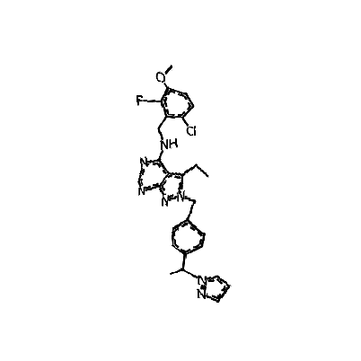 CCc1c2c(NCc3c(Cl)ccc(OC)c3F)ncnc2nn1Cc1ccc(C(C)n2cccn2)cc1